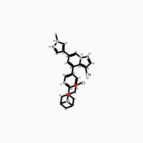 CCOCCN1C2CC1CN(c1ccc(-c3cc(-c4cnn(C)c4)cn4ncc(C#N)c34)cn1)C2